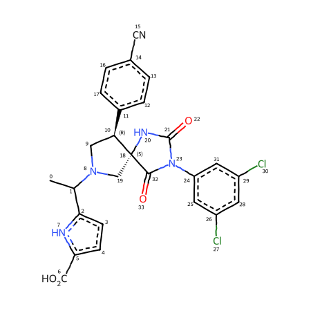 CC(c1ccc(C(=O)O)[nH]1)N1C[C@@H](c2ccc(C#N)cc2)[C@@]2(C1)NC(=O)N(c1cc(Cl)cc(Cl)c1)C2=O